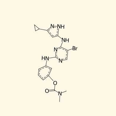 CN(C)C(=O)Oc1cccc(Nc2ncc(Br)c(Nc3cc(C4CC4)n[nH]3)n2)c1